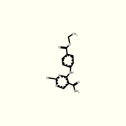 CCOC(=O)c1ccc(Nc2nc(Cl)ncc2C(N)=O)cc1